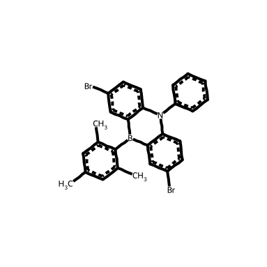 Cc1cc(C)c(B2c3cc(Br)ccc3N(c3ccccc3)c3ccc(Br)cc32)c(C)c1